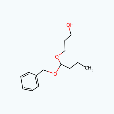 CCCC(OCCCO)OCc1ccccc1